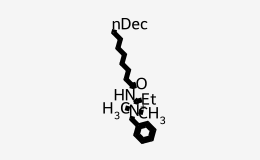 CCCCCCCCCCCCCCCCCC(=O)NC(CC)[N+](C)(C)Cc1ccccc1